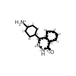 NC1CCC(c2n[nH]c(=O)c3ccccc23)CC1